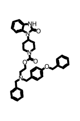 O=C(OCCN(Cc1ccccc1)Cc1ccc(OCc2ccccc2)cc1)N1CCC(n2c(=O)[nH]c3ccccc32)CC1